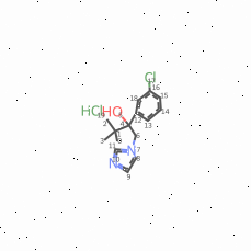 CC(C)(C)C(O)(Cn1ccnc1)c1cccc(Cl)c1.Cl